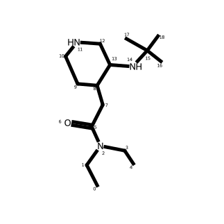 CCN(CC)C(=O)CC1CCNCC1NC(C)(C)C